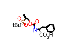 C=C(COC(=O)N(C)[C@@H](Cc1ccccc1)C(=O)O)S(=O)(=O)C(C)(C)C